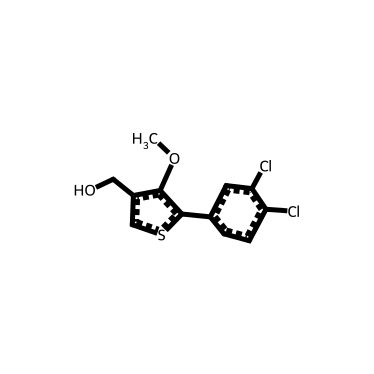 COc1c(CO)csc1-c1ccc(Cl)c(Cl)c1